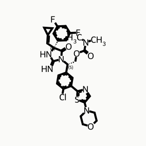 CN(C)C(=O)OC[C@H](c1ccc(Cl)c(-c2ncc(N3CCOCC3)s2)c1)N1C(=N)N[C@](C=C2CC2)(c2cc(F)cc(F)c2)C1=O